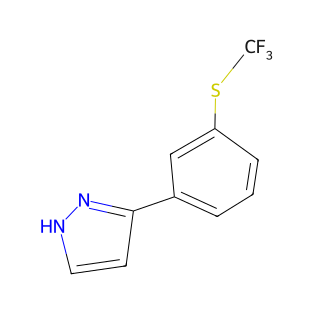 FC(F)(F)Sc1cccc(-c2cc[nH]n2)c1